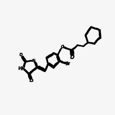 O=C(CCC1CCCCC1)Oc1ccc(/C=C2\SC(=O)NC2=O)cc1Br